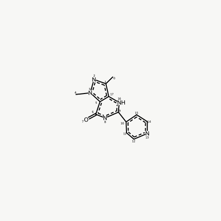 Cc1nn(C)c2c(=O)nc(-c3ccncc3)[nH]c12